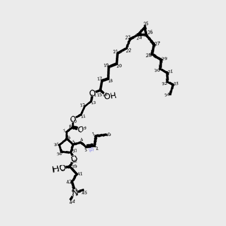 CC/C=C\CC1C(CC(=O)OCCCOC(O)CCCCCCCC2CC2CCCCCCCC)CCC1OC(O)CCN(C)C